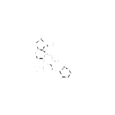 CC(C)(C)OC(=O)N(Cc1ccccc1)Cc1cccc2cc[nH]c12